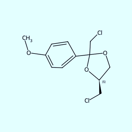 COc1ccc(C2(CCl)OC[C@@H](CCl)O2)cc1